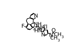 CC(=O)N(C)c1cnc(NNC(=S)NC2c3cnccc3CCc3c(F)cccc32)c(Cl)c1